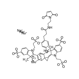 CC1(C)C(=C2CC23C(Oc2ccc(CCC(=O)NCCN4C(=O)C=CC4=O)cc2)=C2CC(C(C)(C)C)C3C=C2C2=[N+](CCS(=O)(=O)[O-])c3ccc(S(=O)(=O)[O-])cc3C2(C)C)N(CCS(=O)(=O)[O-])c2ccc(S(=O)(=O)[O-])cc21.[Na+].[Na+].[Na+]